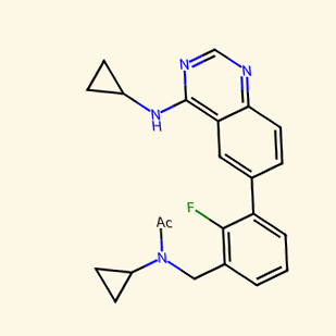 CC(=O)N(Cc1cccc(-c2ccc3ncnc(NC4CC4)c3c2)c1F)C1CC1